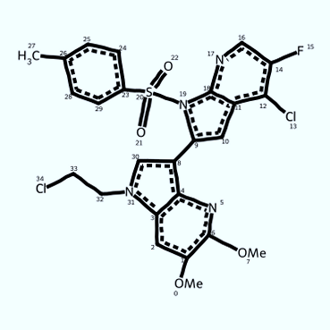 COc1cc2c(nc1OC)c(-c1cc3c(Cl)c(F)cnc3n1S(=O)(=O)c1ccc(C)cc1)cn2CCCl